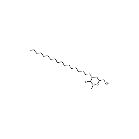 CCCCCCCCCCCCCCCCCCN(CC(O)CO)C(=O)CC